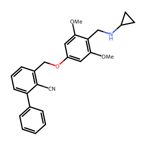 COc1cc(OCc2cccc(-c3ccccc3)c2C#N)cc(OC)c1CNC1CC1